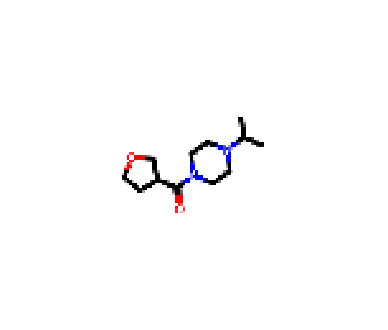 CC(C)N1CCN(C(=O)C2CCOC2)CC1